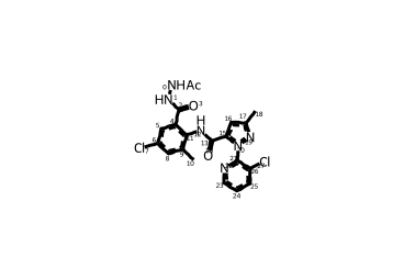 CC(=O)NNC(=O)c1cc(Cl)cc(C)c1NC(=O)c1cc(C)nn1-c1ncccc1Cl